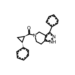 O=C([C@@H]1C[C@H]1c1ccccc1)N1CCc2[nH]nc(-c3ccccc3)c2C1